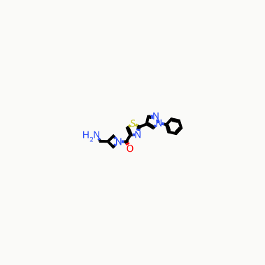 NCC1CN(C(=O)c2csc(-c3cnn(-c4ccccc4)c3)n2)C1